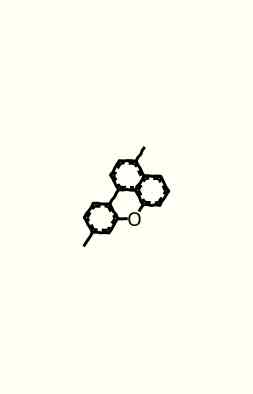 Cc1ccc2c(c1)Oc1cccc3c(C)ccc-2c13